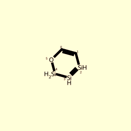 C1=C[SiH]=[SiH][SiH2]O1